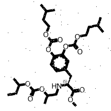 CCC(C)OC(=O)OC(C)CN[C@@H](Cc1ccc(OC(=O)OCCC(C)C)c(OC(=O)OCCC(C)C)c1)C(=O)OC